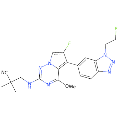 COc1nc(NCC(C)(C)C#N)nn2cc(F)c(-c3ccc4nnn(CCF)c4c3)c12